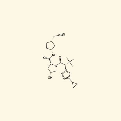 CC(C)(C)[C@@H](C(=O)N1C[C@H](O)C[C@H]1C(=O)N[C@@H]1CC[C@H](CC#N)C1)n1cc(C2CC2)nn1